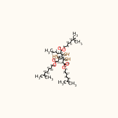 CCCCC(C(=O)OCCCCCC(C)C)[CH](S)[Sn]([CH](S)CC(=O)OCCCCCC(C)C)[CH](S)CC(=O)OCCCCCC(C)C